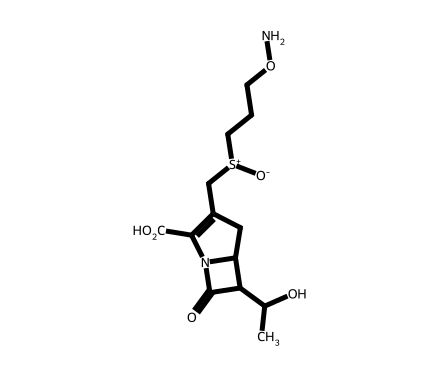 CC(O)C1C(=O)N2C(C(=O)O)=C(C[S+]([O-])CCCON)CC12